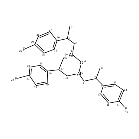 CC([CH2][AlH][O][Al]([CH2]C(C)c1ccc(F)cc1)[CH2]C(C)c1ccc(F)cc1)c1ccc(F)cc1